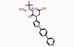 CC(C)(C)[C@@H](CO)NC(=O)[C@@H](CC(=O)O)c1ccn(-c2ccc(-c3ccncc3)cc2)c1